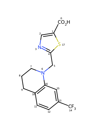 O=C(O)c1cnc(CN2CCCc3ccc(C(F)(F)F)cc32)s1